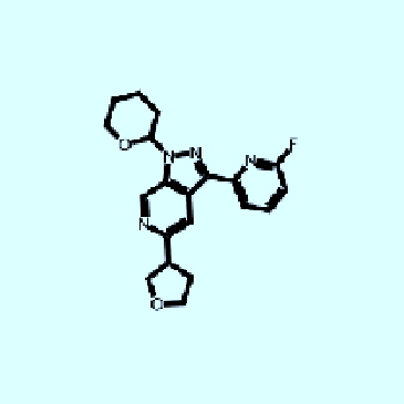 Fc1cccc(-c2nn(C3CCCCO3)c3cnc(C4CCOC4)cc23)n1